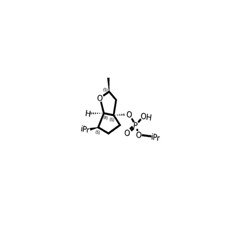 CC(C)OP(=O)(O)O[C@]12CC[C@@H](C(C)C)[C@H]1O[C@@H](C)C2